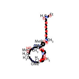 CCOCCN(C)C(=O)CCOCCOCCOCCOCCN(C)C(=O)O[C@@H]1CC[C@@H](C[C@@H](N)[C@@H]2C[C@@H](OC)C(C)/C=C(\C)[C@@H](O)[C@@H](OC)C(=O)[C@H](C)C[C@H](C)/C=C/C=C/C=C(\C)[C@@H](OC)C[C@@H]3CC[C@@H](C)[C@@](O)(O3)C(=O)C(=O)N3CCCC[C@H]3C(=O)O2)C[C@H]1OC